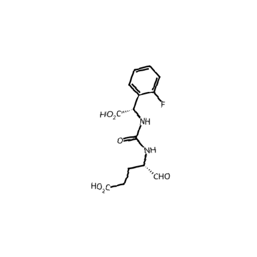 O=C[C@H](CCC(=O)O)NC(=O)N[C@H](C(=O)O)c1ccccc1F